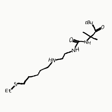 CCSCCCCCNCCNC(=O)NC(C)(C)C(=O)C(C)(C)C